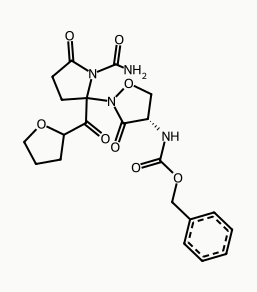 NC(=O)N1C(=O)CCC1(C(=O)C1CCCO1)N1OC[C@H](NC(=O)OCc2ccccc2)C1=O